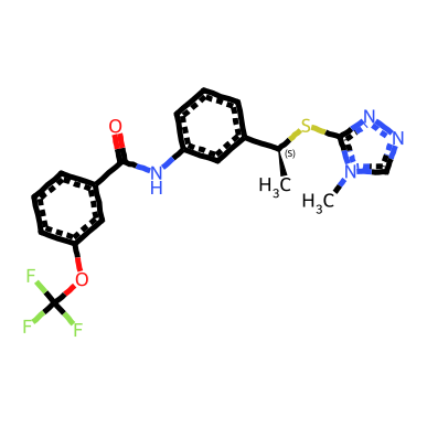 C[C@H](Sc1nncn1C)c1cccc(NC(=O)c2cccc(OC(F)(F)F)c2)c1